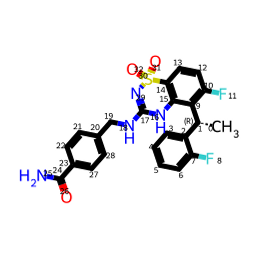 C[C@H](c1ccccc1F)c1c(F)ccc2c1NC(NCc1ccc(C(N)=O)cc1)=NS2(=O)=O